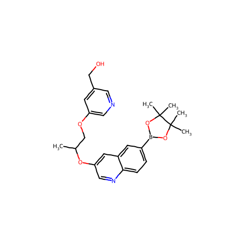 CC(COc1cncc(CO)c1)Oc1cnc2ccc(B3OC(C)(C)C(C)(C)O3)cc2c1